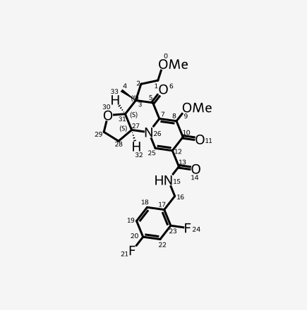 COCC[C@]1(C)C(=O)c2c(OC)c(=O)c(C(=O)NCc3ccc(F)cc3F)cn2[C@H]2CCO[C@H]21